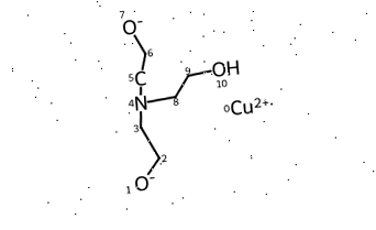 [Cu+2].[O-]CCN(CC[O-])CCO